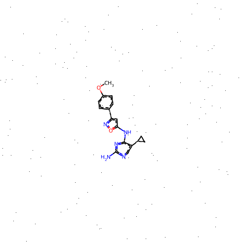 COc1ccc(-c2cc(Nc3nc(N)ncc3C3CC3)on2)cc1